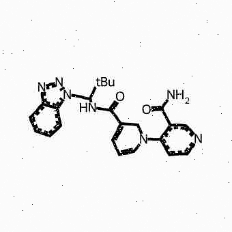 CC(C)(C)C(NC(=O)C1=CC=CN(c2ccncc2C(N)=O)C1)n1nnc2ccccc21